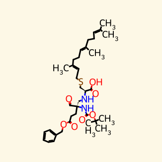 CC(C)=CCC/C(C)=C/CC/C(C)=C/CSC[C@H](NC[C@@](C=O)(CCC(=O)OCc1ccccc1)NC(=O)OC(C)(C)C)C(=O)O